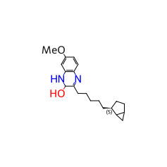 COc1ccc2c(c1)NC(O)C(CCCCC[C@H]1CCC3CC31)=N2